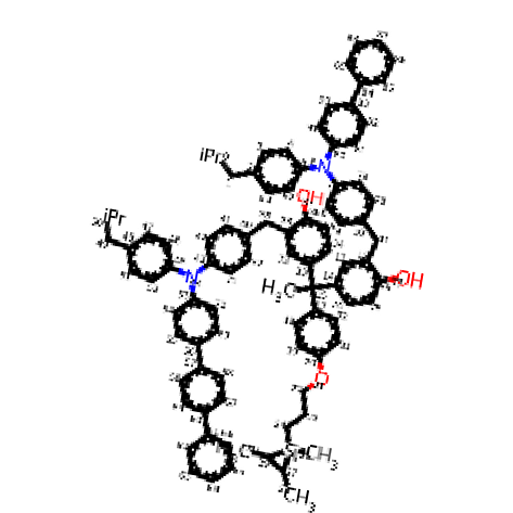 CC(C)Cc1ccc(N(c2ccc(Cc3cc(C(C)(c4ccc(OCCC[Si]5(C)C(C)C5C)cc4)c4ccc(O)c(Cc5ccc(N(c6ccc(CC(C)C)cc6)c6ccc(-c7ccc(-c8ccccc8)cc7)cc6)cc5)c4)ccc3O)cc2)c2ccc(-c3ccccc3)cc2)cc1